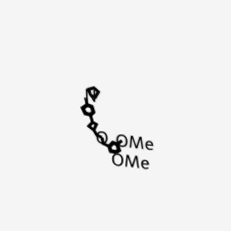 COc1cc(COCC2CC(c3ccc(CN4CCCC4)cc3)C2)cc(OC)c1